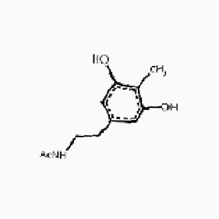 CC(=O)NCCc1cc(O)c(C)c(O)c1